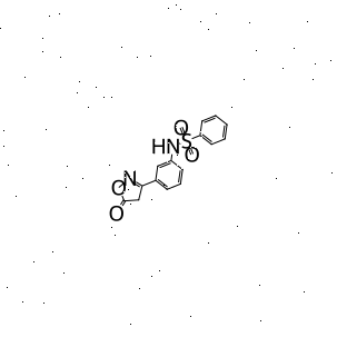 O=C1CC(c2cccc(NS(=O)(=O)c3ccccc3)c2)=NO1